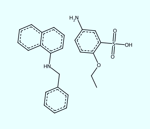 CCOc1ccc(N)cc1S(=O)(=O)O.c1ccc(CNc2cccc3ccccc23)cc1